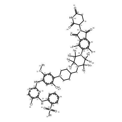 [2H]C1([2H])N(CC2CCN(c3cc(OC(C)C)c(Nc4ncc(Cl)c(Nc5ccccc5S(=O)(=O)C(C)C)n4)cc3C)CC2)C([2H])([2H])C([2H])([2H])N(c2c(F)cc3c(c2F)C(=O)N(C2CCC(=O)NC2=O)C3=O)C1([2H])[2H]